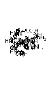 CC(C)[C@H](NC(=O)[C@H](CCCNC(=N)N)NC(=O)[C@@H](N)CC(N)=O)C(=O)N[C@@H](Cc1ccc(O)cc1)C(=O)N[C@H](C(=O)N[C@@H](Cc1cnc[nH]1)C(=O)N1CCC[C@H]1C(=O)N[C@@H](Cc1ccccc1)C(=O)O)C(C)C.O=C(O)CCCC[C@@H]1SC[C@@H]2NC(=O)N[C@@H]21